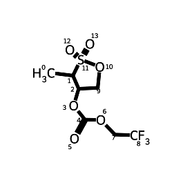 CC1C(OC(=O)OCC(F)(F)F)COS1(=O)=O